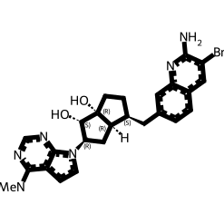 CNc1ncnc2c1ccn2[C@@H]1C[C@@H]2[C@H](Cc3ccc4cc(Br)c(N)nc4c3)CC[C@]2(O)[C@H]1O